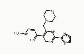 CN/C=C\C(=N)C1=C(CN2CCOCC2)NC(c2nccs2)=NC1